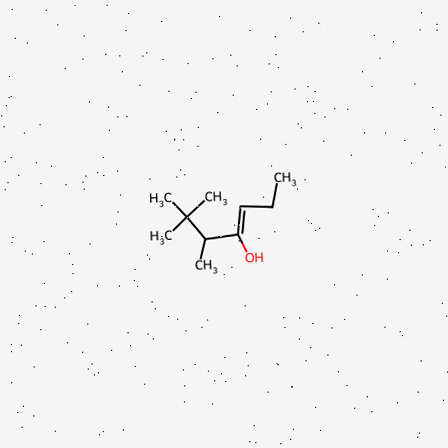 CCC=C(O)C(C)C(C)(C)C